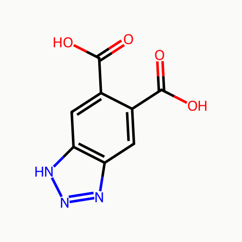 O=C(O)c1cc2nn[nH]c2cc1C(=O)O